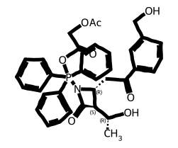 CC(=O)OCC(=O)OP(c1ccccc1)(c1ccccc1)(c1ccccc1)N1C(=O)[C@H]([C@@H](C)O)[C@H]1CC(=O)c1cccc(CO)c1